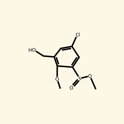 COc1c(CO)cc(Cl)cc1S(=O)OC